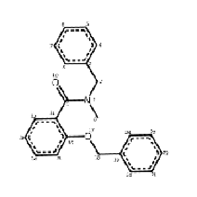 CN(Cc1ccccc1)C(=O)c1ccccc1OCc1ccccc1